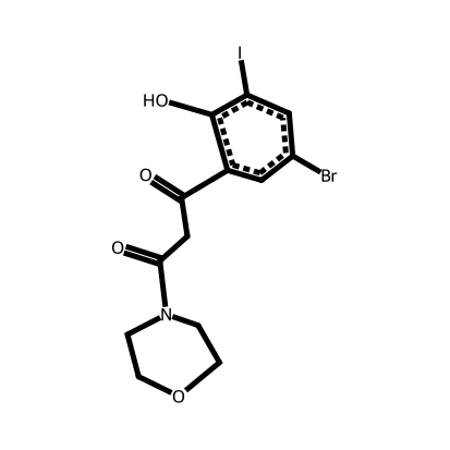 O=C(CC(=O)N1CCOCC1)c1cc(Br)cc(I)c1O